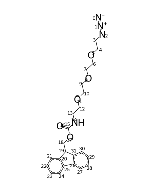 [N-]=[N+]=NCCOCCOCCOCCNC(=O)OCC1c2ccccc2-c2ccccc21